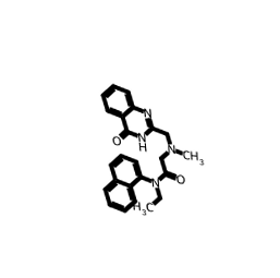 CCN(C(=O)CN(C)Cc1nc2ccccc2c(=O)[nH]1)c1cccc2ccccc12